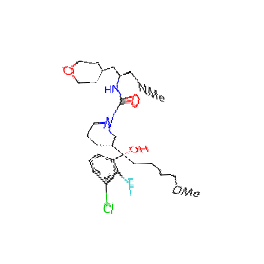 CNC[C@H](CC1CCOCC1)NC(=O)N1CCC[C@@H]([C@@](O)(CCCCOC)c2cccc(Cl)c2F)C1